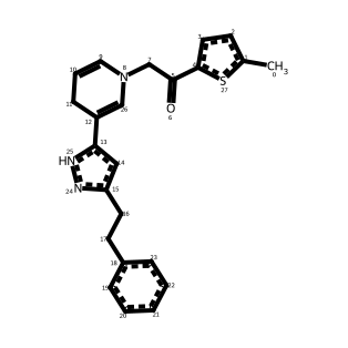 Cc1ccc(C(=O)CN2C=CCC(c3cc(CCc4ccccc4)n[nH]3)=C2)s1